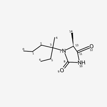 CCCC(C)(CC)N1C(=O)NC(=O)[C@@H]1C